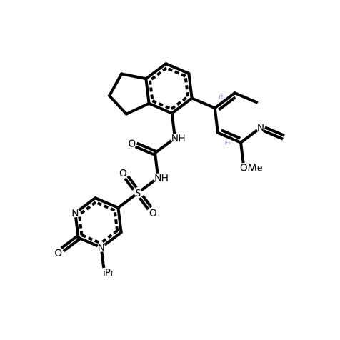 C=N/C(=C\C(=C/C)c1ccc2c(c1NC(=O)NS(=O)(=O)c1cnc(=O)n(C(C)C)c1)CCC2)OC